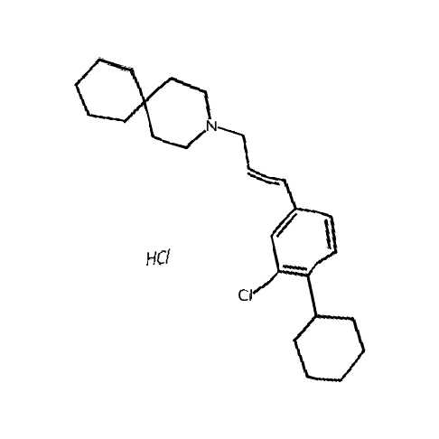 Cl.Clc1cc(C=CCN2CCC3(CCCCC3)CC2)ccc1C1CCCCC1